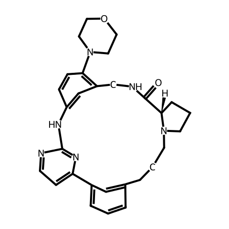 O=C1NCc2cc(ccc2N2CCOCC2)Nc2nccc(n2)-c2cccc(c2)CCCN2CCC[C@@H]12